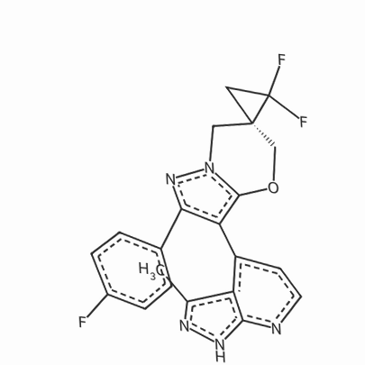 Cc1n[nH]c2nccc(-c3c(-c4ccc(F)cc4)nn4c3OC[C@]3(C4)CC3(F)F)c12